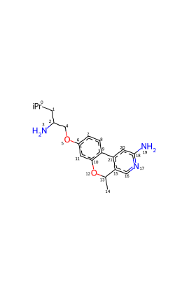 CC(C)CC(N)COc1ccc2c(c1)OC(C)c1cnc(N)cc1-2